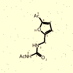 CC(=O)NC(=O)NCc1ccc(C(C)=O)o1